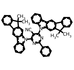 CC1(C)c2ccccc2-c2cc3c4ccccc4n(-c4nc(-c5ccccc5)nc(-n5c6ccccc6c6cc7c(cc65)C(C)(C)c5ccccc5-7)c4C#N)c3cc21